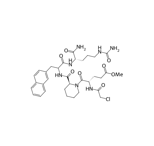 COC(=O)CC[C@H](NC(=O)CCl)C(=O)N1CCCC[C@H]1C(=O)NC(Cc1ccc2ccccc2c1)C(=O)N[C@@H](CCCNC(N)=O)C(N)=O